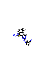 N#Cc1cccc(Nc2nccc(-c3sc(N)nc3-c3ccccc3)n2)c1